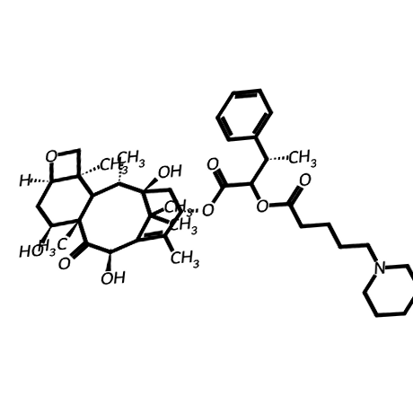 CC1=C2[C@@H](O)C(=O)[C@@]3(C)C([C@H](C)[C@](O)(C[C@@H]1OC(=O)C(OC(=O)CCCCN1CCCCC1)[C@@H](C)c1ccccc1)C2(C)C)[C@]1(C)CO[C@@H]1C[C@@H]3O